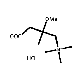 COC(C)(CC(=O)[O-])C[N+](C)(C)C.Cl